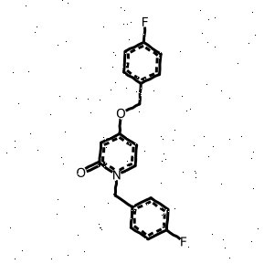 O=c1cc(OCc2ccc(F)cc2)ccn1Cc1ccc(F)cc1